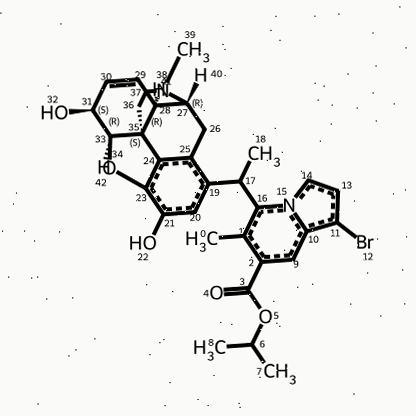 Cc1c(C(=O)OC(C)C)cc2c(Br)ccn2c1C(C)c1cc(O)c2c3c1C[C@@H]1[C@@H]4C=C[C@H](O)[C@H](O2)[C@]34CCN1C